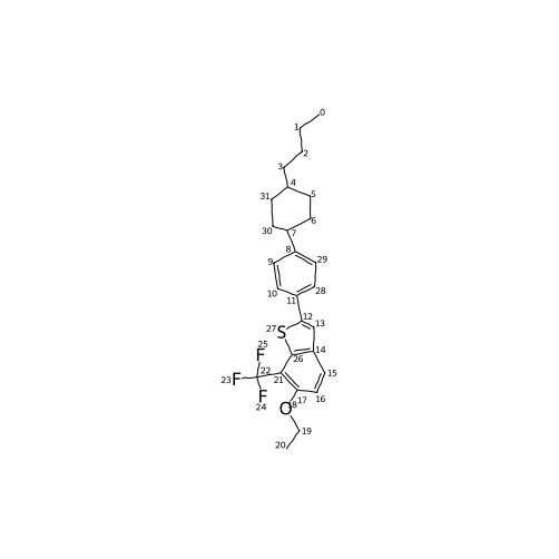 CCCCC1CCC(c2ccc(-c3cc4ccc(OCC)c(C(F)(F)F)c4s3)cc2)CC1